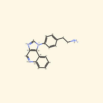 NCCc1ccc(-n2cnc3cnc4ccccc4c32)cc1